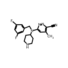 Cc1cc(N(Cc2cc(F)cc(F)c2)C2CCNCC2)nnc1C#N